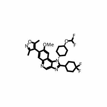 COc1cc2c(cc1-c1c(C)noc1C)ncc1nc(C3CCC(F)(F)CC3)n([C@H]3CC[C@H](OC(F)F)CC3)c12